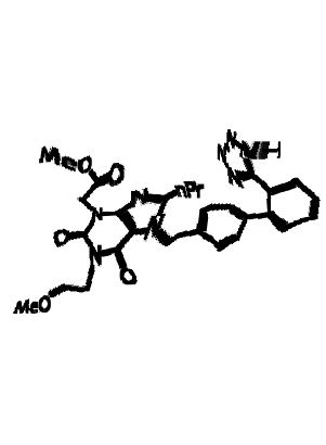 CCCc1nc2c(c(=O)n(CCOC)c(=O)n2CC(=O)OC)n1Cc1ccc(-c2ccccc2-c2nnn[nH]2)cc1